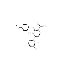 COc1ccc(Cc2nc(-c3cccc(F)c3F)ccc2C(=O)O)c(Cl)c1